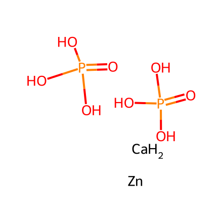 O=P(O)(O)O.O=P(O)(O)O.[CaH2].[Zn]